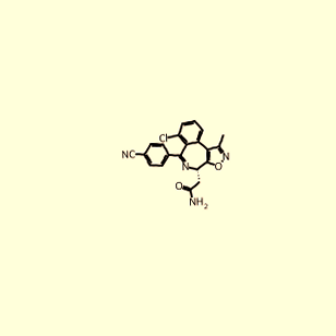 Cc1noc2c1-c1cccc(Cl)c1C(c1ccc(C#N)cc1)=N[C@H]2CC(N)=O